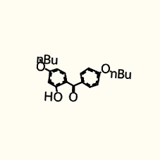 CCCCOc1ccc(C(=O)c2ccc(OCCCC)cc2O)cc1